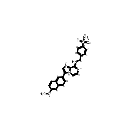 COc1ccc2cc(-c3cnc4c(NCc5ccc(S(N)(=O)=O)cc5)nccn34)ccc2c1